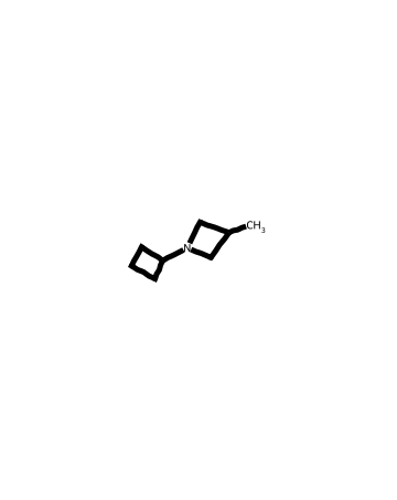 CC1CN(C2CCC2)C1